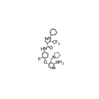 Nc1nccc(Oc2ccc(NC(=O)c3cnn(-c4ccccc4)c3C(F)(F)F)cc2F)c1CN1CCCC1